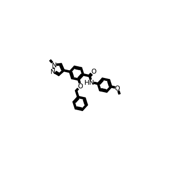 COc1ccc(NC(=O)c2ccc(-c3cnn(C)c3)cc2OCc2ccccc2)cc1